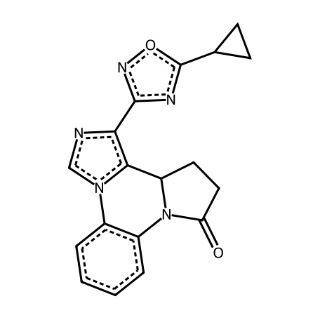 O=C1CCC2c3c(-c4noc(C5CC5)n4)ncn3-c3ccccc3N12